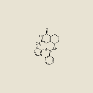 Cn1ccnc1[C@@H]1c2n[nH]c(=O)c3c2C(CCC3)N[C@H]1c1ccccc1